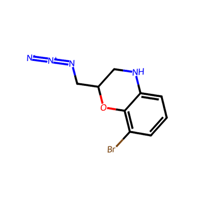 [N-]=[N+]=NCC1CNc2cccc(Br)c2O1